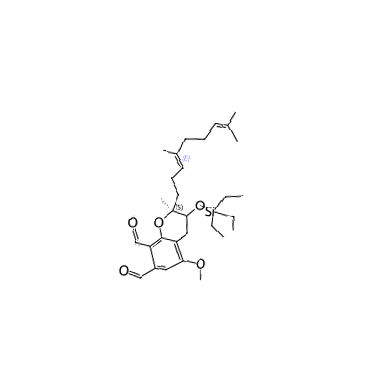 CC[Si](CC)(CC)OC1Cc2c(OC)cc(C=O)c(C=O)c2O[C@@]1(C)CC/C=C(\C)CCC=C(C)C